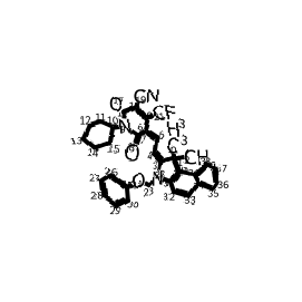 CC1(C)/C(=C\C=C2/C(=O)N(C3CCCCC3)C(=O)C(C#N)=C2C(F)(F)F)N(COc2ccccc2)c2ccc3ccccc3c21